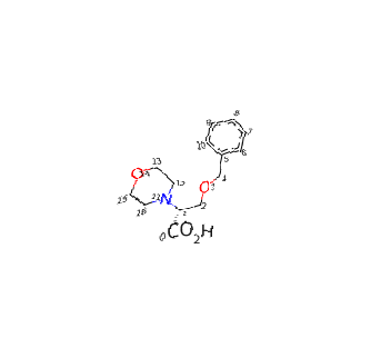 O=C(O)[C@@H](COCc1ccccc1)N1CCOCC1